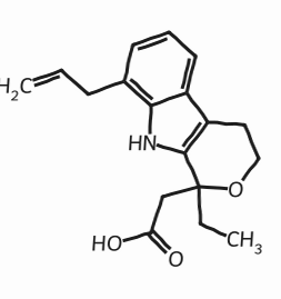 C=CCc1cccc2c3c([nH]c12)C(CC)(CC(=O)O)OCC3